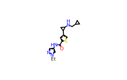 CCn1cc(NC(=O)c2cc(C3CC3NCC3CC3)cs2)cn1